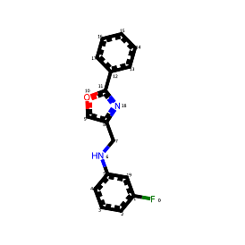 Fc1cccc(NCc2coc(-c3ccccc3)n2)c1